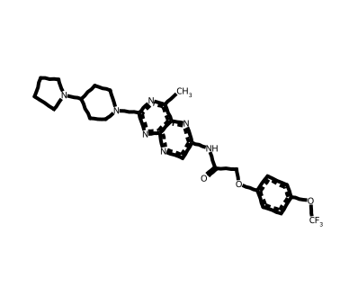 Cc1nc(N2CCC(N3CCCC3)CC2)nc2ncc(NC(=O)COc3ccc(OC(F)(F)F)cc3)nc12